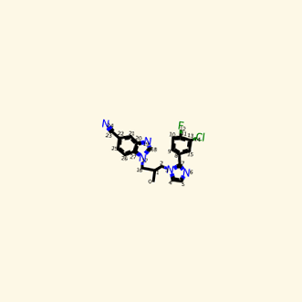 CC(Cn1ccnc1-c1ccc(F)c(Cl)c1)Cn1cnc2cc(C#N)ccc21